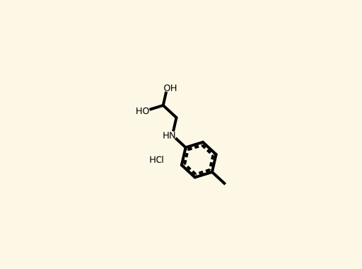 Cc1ccc(NCC(O)O)cc1.Cl